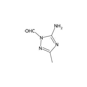 Cc1nc(N)n([C]=O)n1